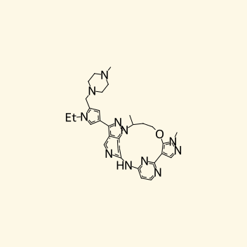 CCn1cc(-c2nn3c4cc(ncc24)Nc2ccnc(n2)-c2cnn(C)c2OCCC3C)cc1CN1CCN(C)CC1